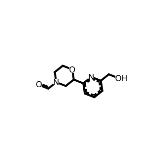 O=CN1CCOC(c2cccc(CO)n2)C1